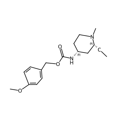 CC[C@@H]1C[C@H](NC(=O)OCc2ccc(OC)cc2)CCN1C